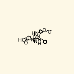 COCCOc1ccc(Nc2nc(NCc3ccccc3)c3ncn(C4CCCN(C(=O)O)C4)c3n2)cc1